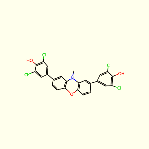 CN1c2cc(-c3cc(Cl)c(O)c(Cl)c3)ccc2Oc2ccc(-c3cc(Cl)c(O)c(Cl)c3)cc21